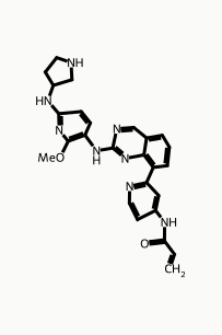 C=CC(=O)Nc1ccnc(-c2cccc3cnc(Nc4ccc(NC5CCNC5)nc4OC)nc23)c1